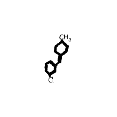 CC1CCC(=Cc2cccc(Cl)c2)CC1